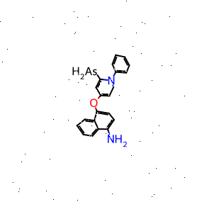 Nc1ccc(OC2=CCN(c3ccccc3)C([AsH2])=C2)c2ccccc12